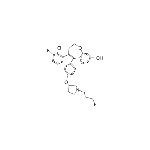 Oc1ccc2c(c1)OCCC(c1cccc(F)c1Cl)=C2c1ccc(O[C@H]2CCN(CCCF)C2)cc1